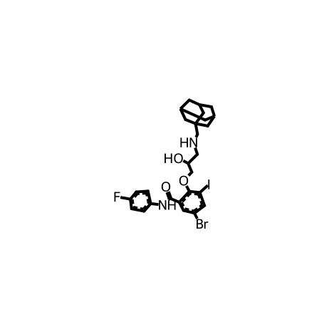 O=C(Nc1ccc(F)cc1)c1cc(Br)cc(I)c1OCC(O)CNCC12CC3CC(CC(C3)C1)C2